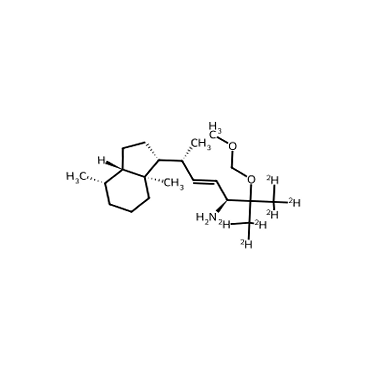 [2H]C([2H])([2H])C(OCOC)([C@@H](N)/C=C/[C@@H](C)[C@H]1CC[C@H]2[C@@H](C)CCC[C@]12C)C([2H])([2H])[2H]